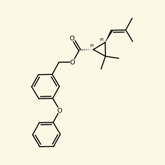 CC(C)=C[C@@H]1[C@@H](C(=O)OCc2cccc(Oc3ccccc3)c2)C1(C)C